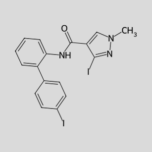 Cn1cc(C(=O)Nc2ccccc2-c2ccc(I)cc2)c(I)n1